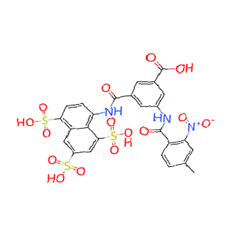 Cc1ccc(C(=O)Nc2cc(C(=O)O)cc(C(=O)Nc3ccc(S(=O)(=O)O)c4cc(S(=O)(=O)O)cc(S(=O)(=O)O)c34)c2)c([N+](=O)[O-])c1